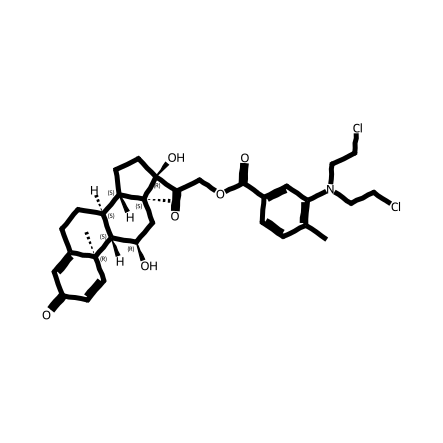 Cc1ccc(C(=O)OCC(=O)[C@@]2(O)CC[C@H]3[C@@H]4CCC5=CC(=O)C=C[C@]5(C)[C@H]4[C@H](O)C[C@@]32C)cc1N(CCCl)CCCl